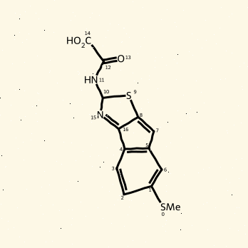 CSc1ccc2c(c1)C=C1SC(NC(=O)C(=O)O)N=C12